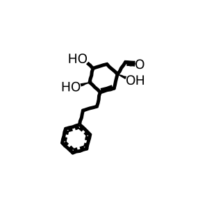 O=C[C@]1(O)C=C(CCc2ccccc2)[C@@H](O)C(O)C1